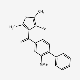 CNc1cc(C(=O)c2c(C)sc(C)c2Br)ccc1-c1ccccc1